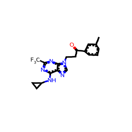 Cc1cccc(C(=O)CCn2cnc3c(NC4CC4)nc(C(F)(F)F)nc32)c1